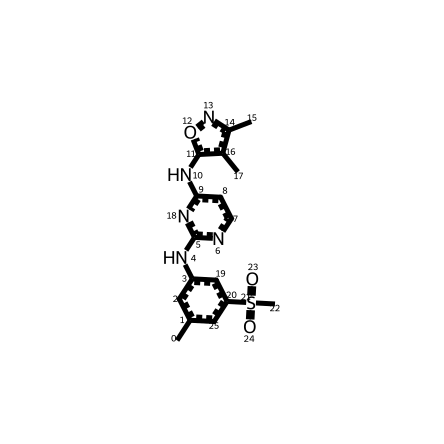 Cc1cc(Nc2nccc(Nc3onc(C)c3C)n2)cc(S(C)(=O)=O)c1